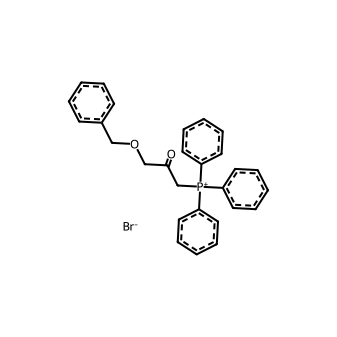 O=C(COCc1ccccc1)C[P+](c1ccccc1)(c1ccccc1)c1ccccc1.[Br-]